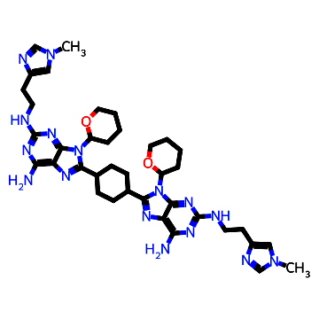 Cn1cnc(CCNc2nc(N)c3nc(C4CCC(c5nc6c(N)nc(NCCc7cn(C)cn7)nc6n5C5CCCCO5)CC4)n(C4CCCCO4)c3n2)c1